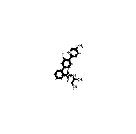 CC(CC#N)NS(=O)(=O)c1ccccc1-c1ccc(-c2cnc(N)cn2)c(F)c1